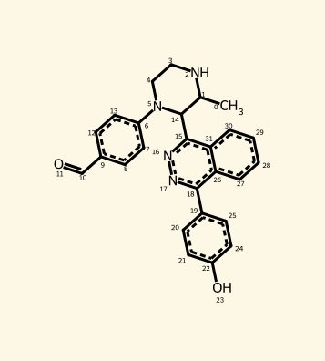 CC1NCCN(c2ccc(C=O)cc2)C1c1nnc(-c2ccc(O)cc2)c2ccccc12